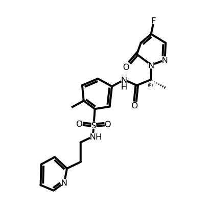 Cc1ccc(NC(=O)[C@@H](C)n2ncc(F)cc2=O)cc1S(=O)(=O)NCCc1ccccn1